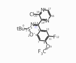 CC(C)(C)[S+]([O-])/N=C(\c1ccc(OC(F)(F)F)c(F)c1)c1nccnc1Cl